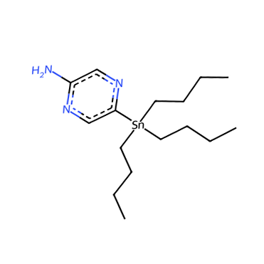 CCC[CH2][Sn]([CH2]CCC)([CH2]CCC)[c]1cnc(N)cn1